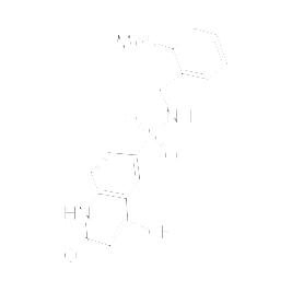 CSc1ccccc1CNS(=O)(=O)c1ccc2[nH]c(=O)cc(C(F)(F)F)c2c1